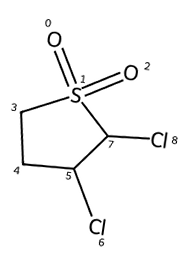 O=S1(=O)CCC(Cl)C1Cl